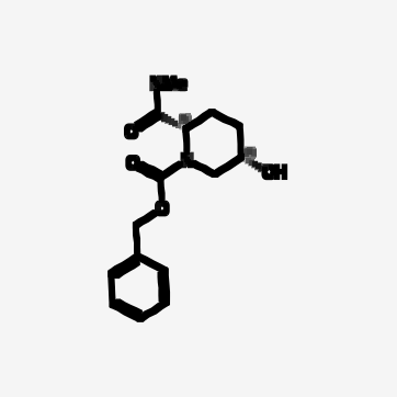 CNC(=O)[C@@H]1CC[C@H](O)CN1C(=O)OCc1ccccc1